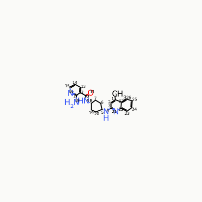 Cc1cc(N[C@H]2CC[C@@H](NC(=O)c3cccnc3N)CC2)nc2ccccc12